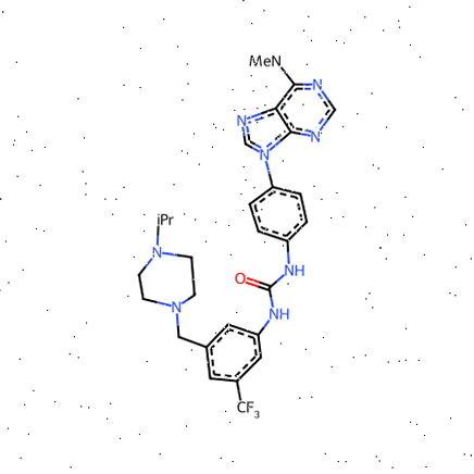 CNc1ncnc2c1ncn2-c1ccc(NC(=O)Nc2cc(CN3CCN(C(C)C)CC3)cc(C(F)(F)F)c2)cc1